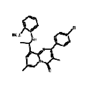 Cc1cc(C(C)Nc2ccccc2C(=O)O)c2nc(-c3ccc(Cl)cc3)c(C)c(=O)n2c1